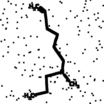 C=CCCCCN(C)CCC